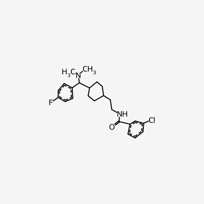 CN(C)C(c1ccc(F)cc1)C1CCC(CCNC(=O)c2cccc(Cl)c2)CC1